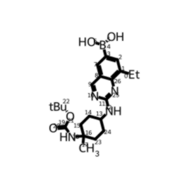 CCc1cc(B(O)O)cc2cnc(NC3CCC(C)(NC(=O)OC(C)(C)C)CC3)nc12